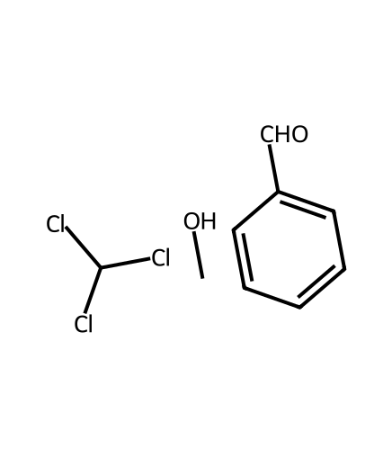 CO.ClC(Cl)Cl.O=Cc1ccccc1